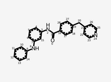 O=C(Nc1cccc(Nc2ccccc2)c1)c1ccc(Cc2ccncc2)cc1